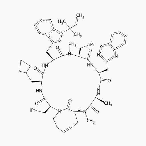 C=CC(C)(C)n1cc(C[C@@H]2NC(=O)[C@H](CC3CCC3)NC(=O)[C@H](CC(C)C)N3CC/C=C\C[C@@H](C3=O)N(C)C(=O)[C@H](C)NC(=O)[C@H](Cc3ncc4ccccc4n3)NC(=O)[C@H](CC(C)C)N(C)C2=O)c2ccccc21